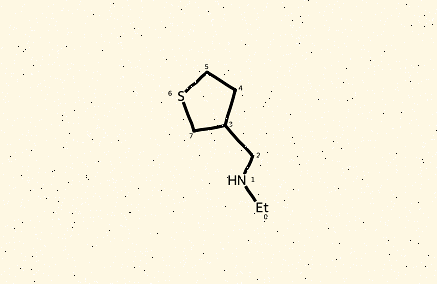 CCNCC1CCSC1